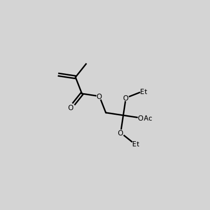 C=C(C)C(=O)OCC(OCC)(OCC)OC(C)=O